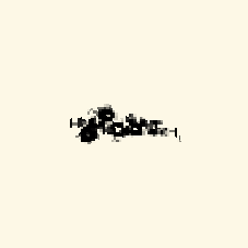 CN1CCN(CC2CCN(c3ccc(N=C(c4ccccc4)c4c(O)[nH]c5ccccc45)cc3)C2=O)CC1